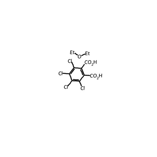 CCOCC.O=C(O)c1c(Cl)c(Cl)c(Cl)c(Cl)c1C(=O)O